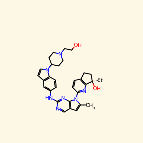 CC[C@@]1(O)CCc2ccc(-n3c(C)cc4cnc(Nc5ccc6c(ccn6C6CCN(CCO)CC6)c5)nc43)nc21